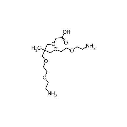 CC(COCCOCCN)(COCCOCCN)COCC(=O)O